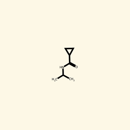 CC(C)NC(=O)C1CC1